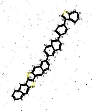 c1ccc2cc3c(cc2c1)sc1c2cc4ccc(-c5ccc6cc(-c7ccc(-c8csc9ccccc89)cc7)ccc6c5)cc4cc2sc31